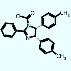 Cc1ccc([C@@H]2[C@H](c3ccc(C)cc3)N=C(c3ccccc3)N2C(=O)Cl)cc1